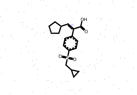 O=C(O)/C(=C/C1CCCC1)c1ccc(S(=O)(=O)CC2CC2)cc1